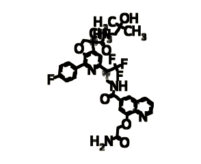 CC(C)(O)CNC(=O)[C@@]1(C)COc2c1cc([C@@H](CNC(=O)c1cc(OCC(N)=O)c3ncccc3c1)C(F)(F)F)nc2-c1ccc(F)cc1